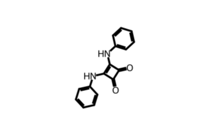 O=c1c(Nc2ccccc2)c(Nc2ccccc2)c1=O